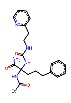 CCC(=O)NC(CCCc1ccccc1)(NC(=O)NCCc1ccccn1)C(N)=O